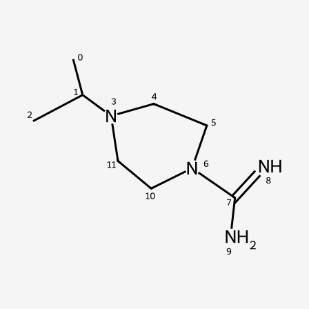 CC(C)N1CCN(C(=N)N)CC1